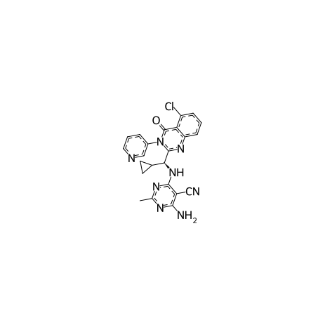 Cc1nc(N)c(C#N)c(N[C@H](c2nc3cccc(Cl)c3c(=O)n2-c2cccnc2)C2CC2)n1